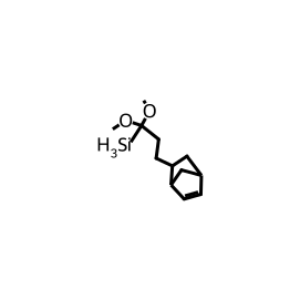 COC([SiH3])(CCC1CC2C=CC1C2)OC